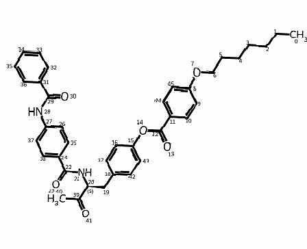 CCCCCCCOc1ccc(C(=O)Oc2ccc(C[C@H](NC(=O)c3ccc(NC(=O)c4ccccc4)cc3)C(C)=O)cc2)cc1